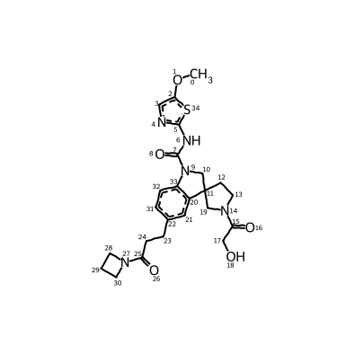 COc1cnc(NC(=O)N2CC3(CCN(C(=O)CO)C3)c3cc(CCC(=O)N4CCC4)ccc32)s1